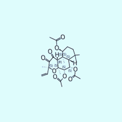 C=C[C@]1(C)O[C@]2(C)[C@@H](OC(C)=O)[C@@H](OC(C)=O)[C@H]3C(C)(C)CC[C@H](OC(C)=O)[C@]3(C)[C@H]2C(=O)C1=O